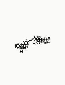 O=C(NCC#Cc1ccc2nc(Nc3ccccc3)ncc2c1)c1cncn(Cc2ccc(F)c(F)c2)c1=O